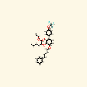 CCCCC(Oc1cc(-c2ccc(OC(F)(F)F)cc2)ccc1OCCCCc1ccccc1)C(=O)OCC